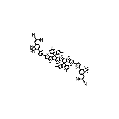 Cc1ccc(C2(c3ccc(C)s3)c3c(sc4cc(-c5ccc(-c6ccc(C=C(C#N)C#N)c7nsnc67)s5)sc34)-c3sc4c5c(sc4c32)-c2sc3cc(-c4ccc(-c6ccc(C=C(C#N)C#N)c7nsnc67)s4)sc3c2C5(c2ccc(C)s2)c2ccc(C)s2)s1